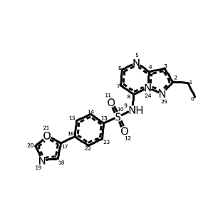 CCc1cc2nccc(NS(=O)(=O)c3ccc(-c4cnco4)cc3)n2n1